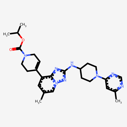 Cc1cc(C2=CCN(C(=O)OC(C)C)CC2)c2nc(NC3CCN(c4cc(C)ncn4)CC3)nn2c1